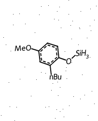 CCCCc1cc(OC)ccc1O[SiH3]